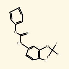 O=C(Nc1ccc(Cl)c(OC(F)(F)F)c1)Oc1ccccc1